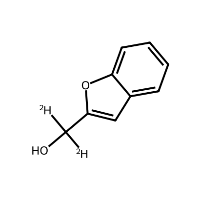 [2H]C([2H])(O)c1cc2ccccc2o1